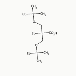 CCC(C)(C)OCC(CC)(COC(C)(C)CC)C(=O)O